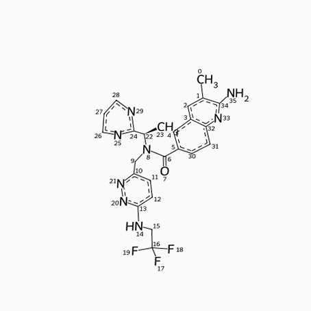 Cc1cc2cc(C(=O)N(Cc3ccc(NCC(F)(F)F)nn3)[C@H](C)c3ncccn3)ccc2nc1N